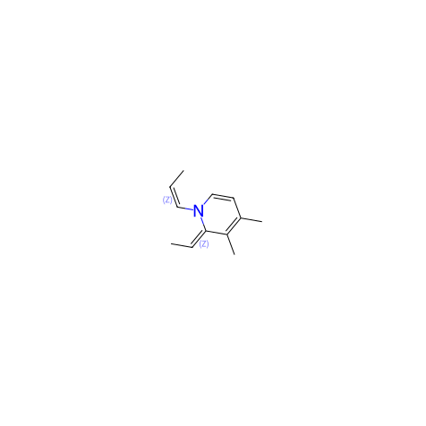 C/C=C\N1C=CC(C)=C(C)/C1=C/C